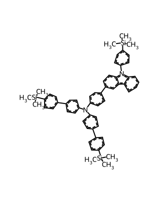 C[Si](C)(C)c1ccc(-c2ccc(N(c3ccc(-c4ccc([Si](C)(C)C)cc4)cc3)c3ccc(-c4ccc5c(c4)c4ccccc4n5-c4ccc([Si](C)(C)C)cc4)cc3)cc2)cc1